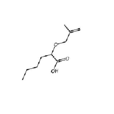 C=C(C)COC(CCCC)C(=O)O